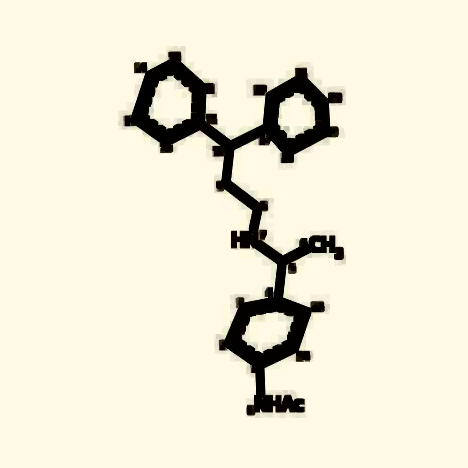 CC(=O)Nc1ccc(C(C)NCCC(c2ccccc2)c2ccccc2)cc1